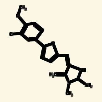 C=C1/C(=C\c2ccc(-c3ccc(OC)c(Cl)c3)o2)NC(N)N1C